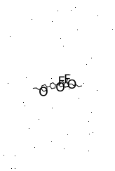 CCCCOc1ccc(OCC2CCC(C3CCC(CCC)OC3)CC2)c(F)c1F